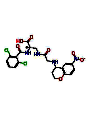 O=C(CNC1CCOc2ccc([N+](=O)[O-])cc21)NC[C@H](NC(=O)c1c(Cl)cccc1Cl)C(=O)O